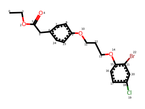 CCOC(=O)Cc1ccc(OCCCOc2ccc(Cl)cc2Br)cc1